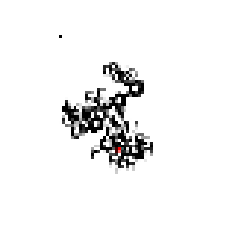 CC(C)(C)S(=O)(=O)Cc1ccccc1-c1ccc2c(=O)n(-c3ccc(Cl)c4c(NS(=O)(=O)C5CC5)nn(CC(F)F)c34)c([C@H](Cc3cc(F)cc(F)c3)NC(=O)Cn3nc(C(F)F)c4c3C(F)(F)[C@@H]3C[C@H]43)nc2c1